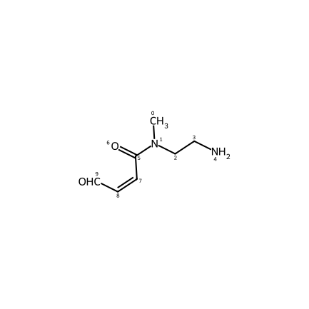 CN(CCN)C(=O)/C=C\C=O